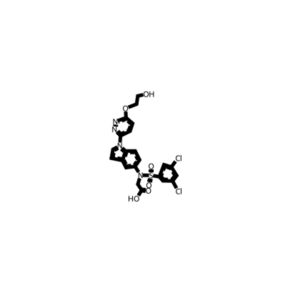 O=C(O)CN(c1ccc2c(ccn2-c2ccc(OCCO)nn2)c1)S(=O)(=O)c1cc(Cl)cc(Cl)c1